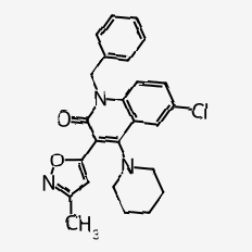 Cc1cc(-c2c(N3CCCCC3)c3cc(Cl)ccc3n(Cc3ccccc3)c2=O)on1